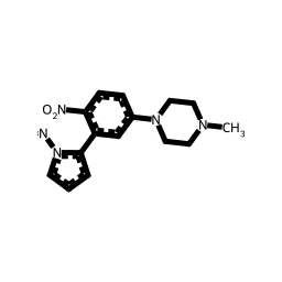 CN1CCN(c2ccc([N+](=O)[O-])c(-c3cccn3[N])c2)CC1